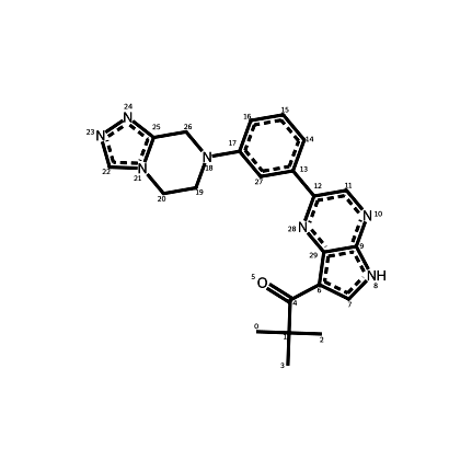 CC(C)(C)C(=O)c1c[nH]c2ncc(-c3cccc(N4CCn5cnnc5C4)c3)nc12